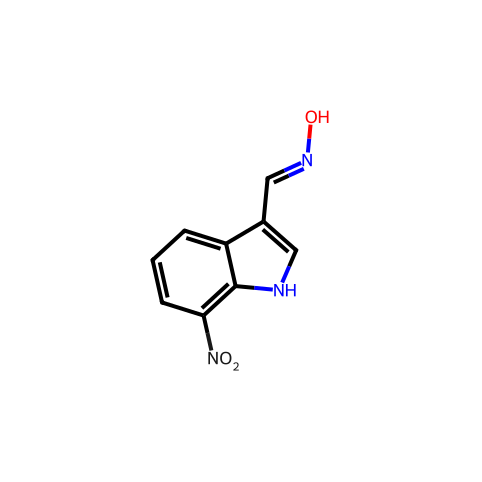 O=[N+]([O-])c1cccc2c(C=NO)c[nH]c12